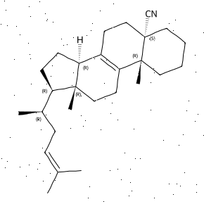 CC(C)=CC[C@@H](C)[C@H]1CC[C@H]2C3=C(CC[C@]12C)[C@@]1(C)CCCC[C@]1(C#N)CC3